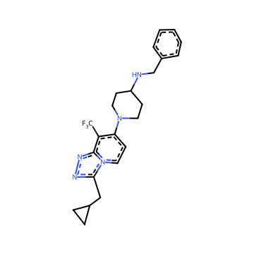 FC(F)(F)c1c(N2CCC(NCc3ccccc3)CC2)ccn2c(CC3CC3)nnc12